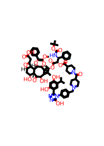 COC1=C(c2ccccc2)O[C@H]2C3C4C(CC(=O)O)O[C@@H]4C[C@H](O)[C@@]3(C)C(=O)[C@H](O)C3=C(C)[C@@H](OC(=O)[C@H](OC(=O)C4CCN(C(=O)C5CCN(Cc6ccc(-n7c(O)nnc7-c7cc(C(C)C)c(O)cc7O)cc6)CC5)CC4)[C@@H](NC(=O)OC(C)(C)C)c4ccccc4)C[C@]2(O1)C3(C)C